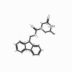 CC1CN(C(=O)OCC2c3ccccc3-c3ccccc32)CC(=O)N1